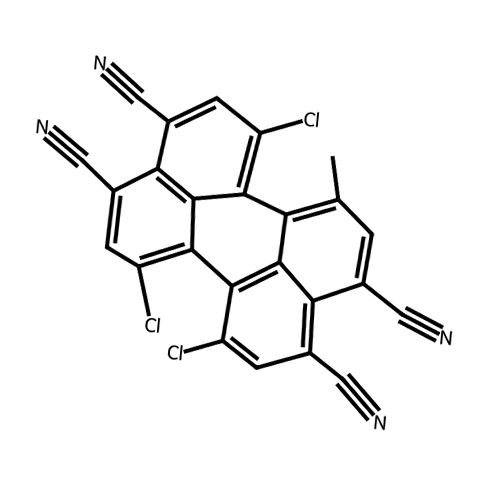 Cc1cc(C#N)c2c(C#N)cc(Cl)c3c4c(Cl)cc(C#N)c5c(C#N)cc(Cl)c(c1c23)c54